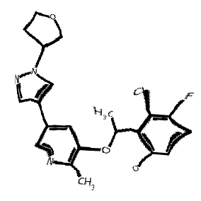 Cc1ncc(-c2cnn(C3CCOC3)c2)cc1OC(C)c1c(Cl)ccc(F)c1Cl